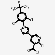 O=C(Cl)c1cc(-c2cnn(-c3c(Cl)cc(C(F)(C(F)(F)F)C(F)(F)F)cc3Cl)c2)cnc1Cl